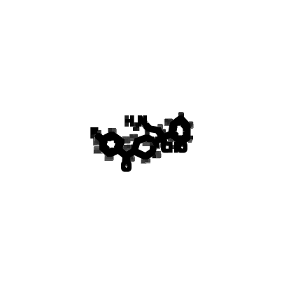 NCCC(C=O)(c1ccccc1)N1CCC(C(=O)c2ccc(F)cc2)CC1